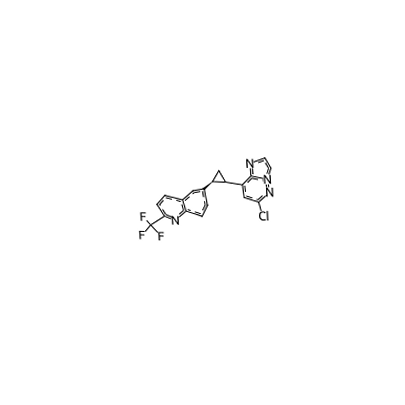 FC(F)(F)c1ccc2cc([C@H]3CC3c3cc(Cl)nn4ccnc34)ccc2n1